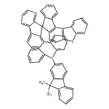 CC1(C)c2ccccc2-c2ccc(N(c3ccccc3)c3ccccc3-c3cccc4c3C3(c5ccccc5-4)c4ccccc4-c4c3ccc3sc5ccccc5c43)cc21